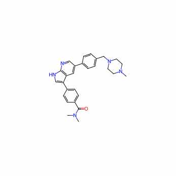 CN1CCN(Cc2ccc(-c3cnc4[nH]cc(-c5ccc(C(=O)N(C)C)cc5)c4c3)cc2)CC1